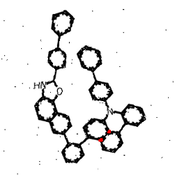 c1ccc(-c2ccc(C3Nc4ccc5cc(-c6ccccc6-c6ccc(N(c7ccc(-c8ccccc8)cc7)c7ccccc7-c7ccccc7)cc6)ccc5c4O3)cc2)cc1